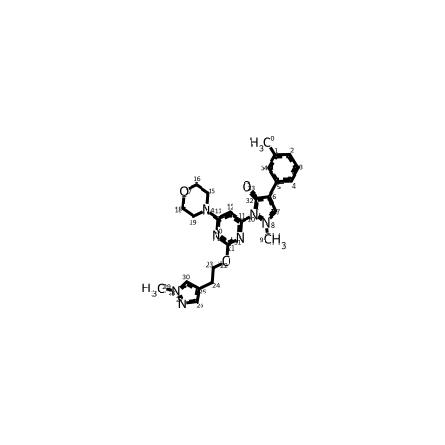 Cc1cccc(-c2cn(C)n(-c3cc(N4CCOCC4)nc(OCCc4cnn(C)c4)n3)c2=O)c1